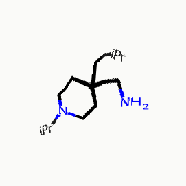 CC(C)CC1(CN)CCN(C(C)C)CC1